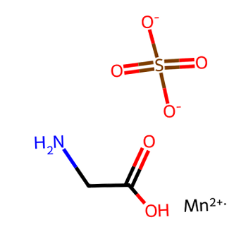 NCC(=O)O.O=S(=O)([O-])[O-].[Mn+2]